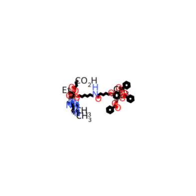 CC[C@H]1O[C@@H](n2cnc3c(/C=C\N(C)C)ncnc32)[C@@H](OCCCCCCNC(=O)CCCCO[C@@H]2C[C@H](COC(=O)c3ccccc3)[C@H](OC(=O)c3ccccc3)[C@H](OC(=O)c3ccccc3)[C@H]2C)C1OC(=O)CCC(=O)O